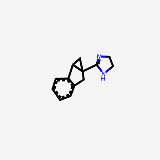 c1ccc2c(c1)CC1(C3=NCCN3)CC21